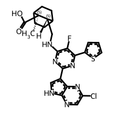 C[C@]1(C(=O)O)C2CCC(CC2)[C@@H]1CNc1nc(-c2c[nH]c3ncc(Cl)nc23)nc(-c2cccs2)c1F